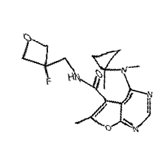 Cc1oc2ncnc(N(C)C3(C)CC3)c2c1C(=O)NCC1(F)COC1